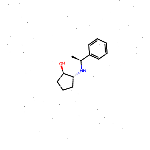 C[C@H](N[C@@H]1CCC[C@H]1O)c1ccccc1